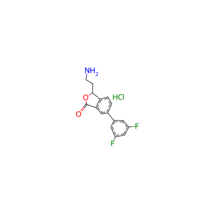 Cl.NCCC1OC(=O)c2cc(-c3cc(F)cc(F)c3)ccc21